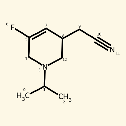 CC(C)N1CC(F)=CC(CC#N)C1